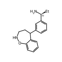 CC[C@H](N)c1cccc(C2CCNOc3ccccc32)c1